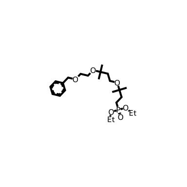 CCOP(=O)(CCC(C)(C)OCCC(C)(C)OCCOCc1ccccc1)OCC